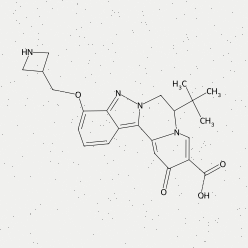 CC(C)(C)C1Cn2nc3c(OCC4CNC4)cccc3c2-c2cc(=O)c(C(=O)O)cn21